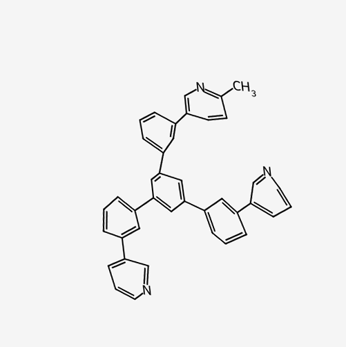 Cc1ccc(-c2cccc(-c3cc(-c4cccc(-c5cccnc5)c4)cc(-c4cccc(-c5cccnc5)c4)c3)c2)cn1